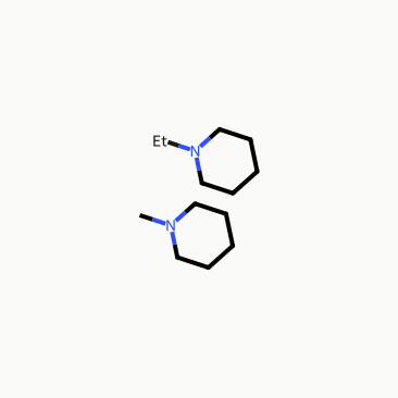 CCN1CCCCC1.CN1CCCCC1